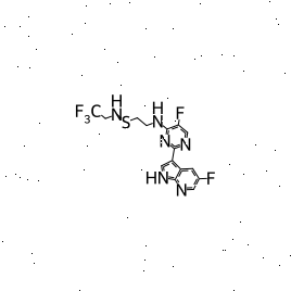 Fc1cnc2[nH]cc(-c3ncc(F)c(NCCSNCC(F)(F)F)n3)c2c1